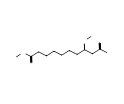 COC(=O)CCCCCCC(CC(C)=O)OC